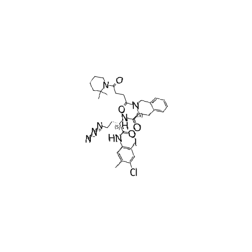 Cc1cc(NC(=O)[C@H](CCN=[N+]=[N-])NC(=O)[C@@H]2Cc3ccccc3CN2C(=O)CCC(=O)N2CCCCC2(C)C)c(I)cc1Cl